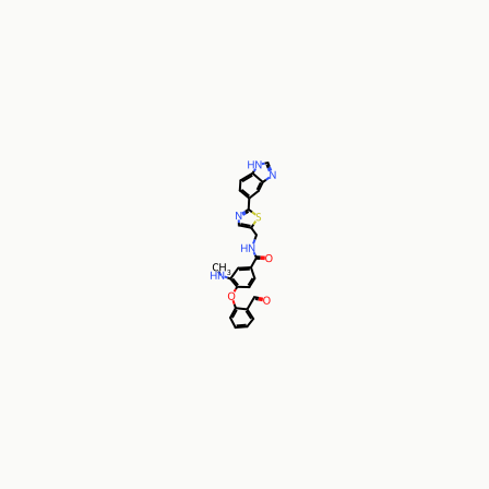 CNc1cc(C(=O)NCc2cnc(-c3ccc4[nH]cnc4c3)s2)ccc1Oc1ccccc1C=O